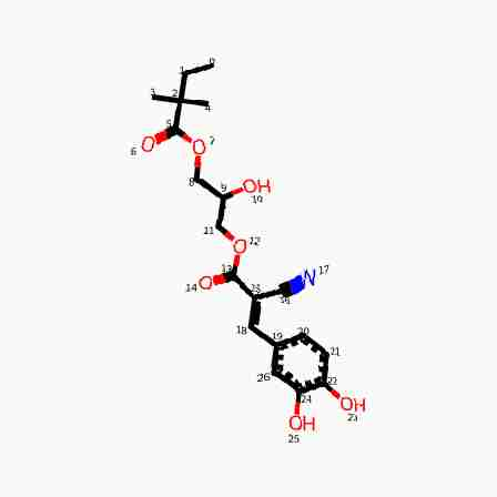 CCC(C)(C)C(=O)OCC(O)COC(=O)/C(C#N)=C/c1ccc(O)c(O)c1